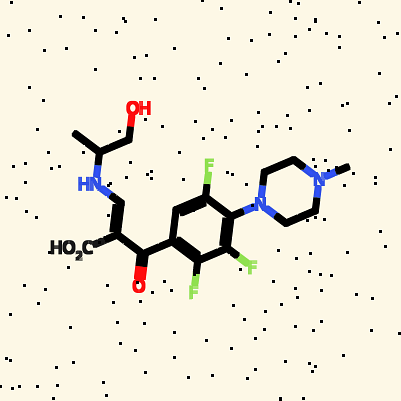 CC(CO)NC=C(C(=O)O)C(=O)c1cc(F)c(N2CCN(C)CC2)c(F)c1F